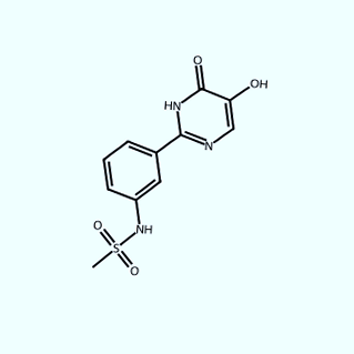 CS(=O)(=O)Nc1cccc(-c2ncc(O)c(=O)[nH]2)c1